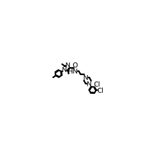 Cc1ccc(-n2c(C)nc(C(=O)NCCCN3CCN(c4cccc(Cl)c4Cl)CC3)c2C)cc1